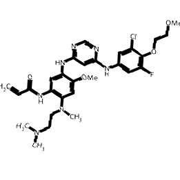 C=CC(=O)Nc1cc(Nc2cc(Nc3cc(F)c(OCCOC)c(Cl)c3)ncn2)c(OC)cc1N(C)CCN(C)C